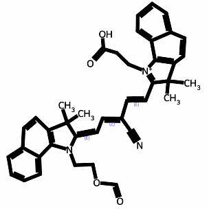 CC1(C)C(/C=C/C(C#N)=C/C=C2/N(CCOC=O)c3c(ccc4ccccc34)C2(C)C)=[N+](CCC(=O)O)c2c1ccc1ccccc21